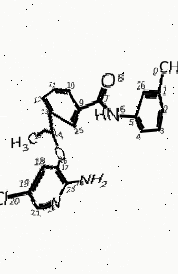 Cc1cccc(NC(=O)c2cccc(C(C)Oc3cc(Cl)cnc3N)c2)c1